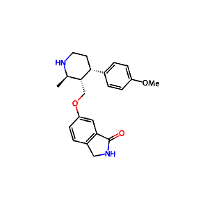 COc1ccc([C@H]2CCN[C@H](C)[C@H]2COc2ccc3c(c2)C(=O)NC3)cc1